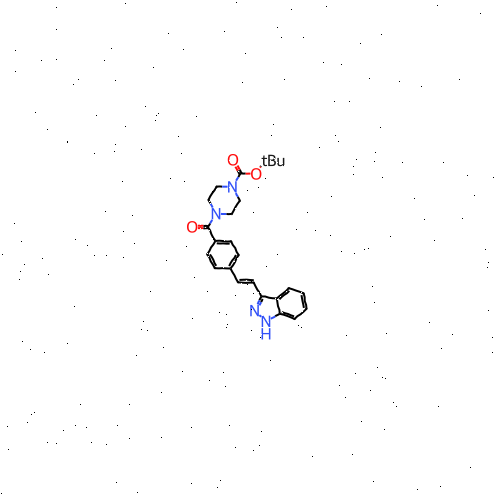 CC(C)(C)OC(=O)N1CCN(C(=O)c2ccc(/C=C/c3n[nH]c4ccccc34)cc2)CC1